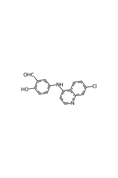 O=Cc1cc(Nc2ccnc3cc(Cl)ccc23)ccc1O